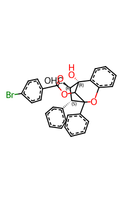 O=C[C@@H]1[C@@H](c2ccccc2)C2(c3ccccc3)Oc3ccccc3[C@@]1(O)C2OC(=O)c1ccc(Br)cc1